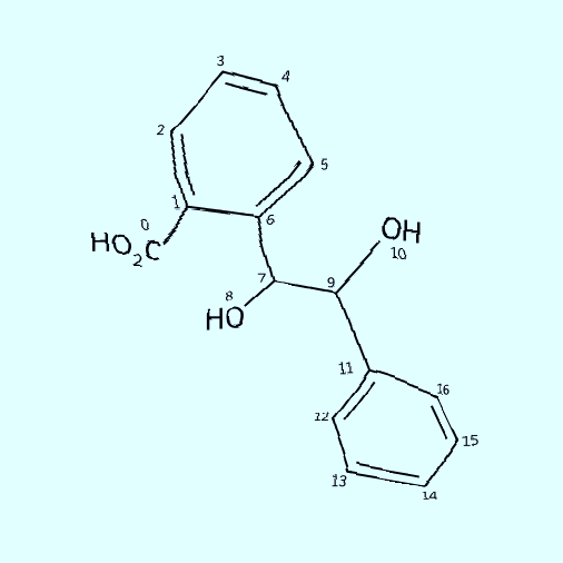 O=C(O)c1ccccc1C(O)C(O)c1ccccc1